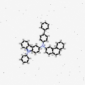 c1ccc(-c2ccc(N(c3ccc4ccc5ccccc5c4c3)c3ccc4c(c3)c3ccccc3n4-c3ccccc3)cc2)cc1